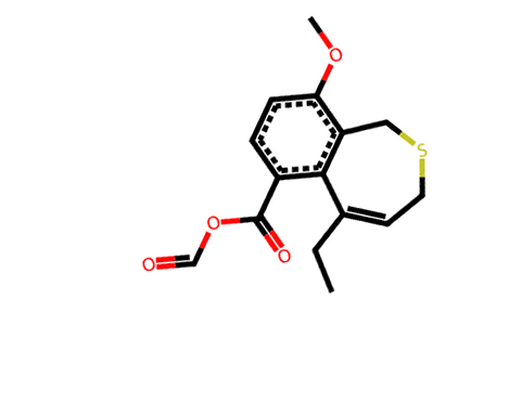 CCC1=CCSCc2c(OC)ccc(C(=O)OC=O)c21